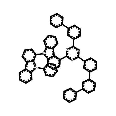 c1ccc(-c2cccc(-c3cccc(-c4nc(-c5cccc(-c6ccccc6)c5)nc(-c5cccc6c5c5ccccc5n6-c5cccc6c7ccccc7n(-c7ccccc7)c56)n4)c3)c2)cc1